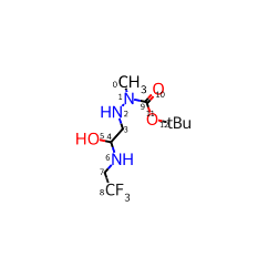 CN(NCC(O)NCC(F)(F)F)C(=O)OC(C)(C)C